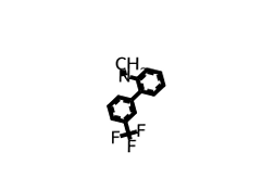 C=Nc1ccccc1-c1cccc(C(F)(F)F)c1